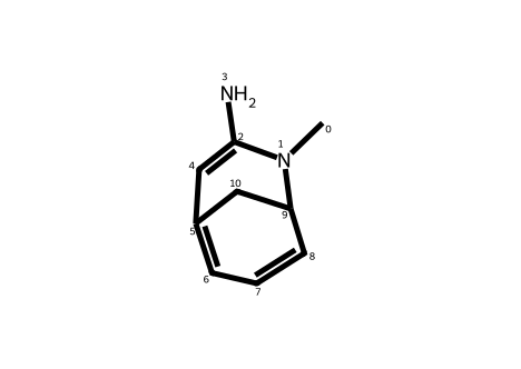 CN1C(N)=CC2=CC=CC1C2